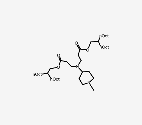 CCCCCCCCC(CCCCCCCC)COC(=O)CCN(CCC(=O)OCC(CCCCCCCC)CCCCCCCC)C1CCN(C)CC1